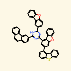 c1ccc2c(c1)ccc1ccc(C3=NC(c4cc(-c5cccc6sc7ccccc7c56)cc5oc6ccccc6c45)=NC(c4ccc5oc6ccccc6c5c4)N3)cc12